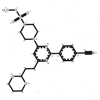 COS(=O)(=O)N1CCN(c2cc(CCC3OCCCO3)nc(-c3ccc(C#N)cc3)n2)CC1